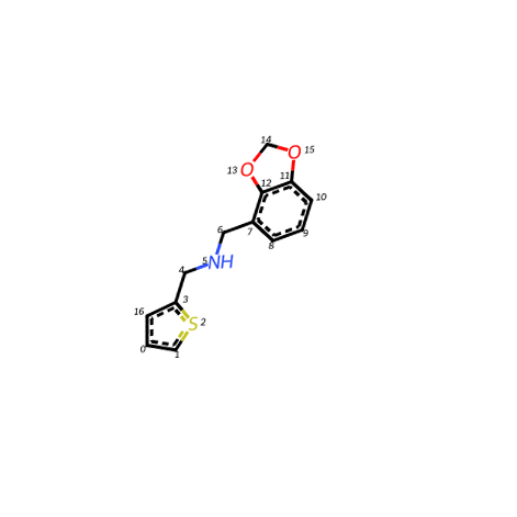 c1csc(CNCc2cccc3c2OCO3)c1